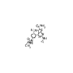 CCNC(=O)Nc1cccc(-c2nc(NC3CC3)nc3sc(C(N)=O)c(N)c23)c1